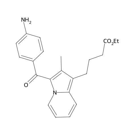 CCOC(=O)CCCc1c(C)c(C(=O)c2ccc(N)cc2)n2ccccc12